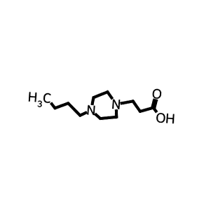 CCCCN1CCN(CCC(=O)O)CC1